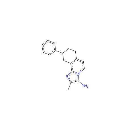 Cc1nc2c3c(ccn2c1N)CCC(c1ccccc1)C3